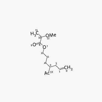 C=CCC(CCCOC(=O)C(C)OC)C(C)=O